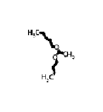 CCCCCOC(C)OCCCC